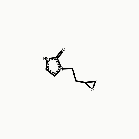 O=c1[nH]ccn1CCC1CO1